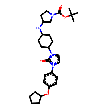 CC(C)(C)OC(=O)N1CCC(NC2CCC(n3ccn(-c4ccc(OC5CCCC5)cc4)c3=O)CC2)C1